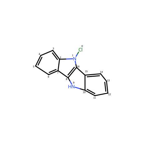 Cln1c2ccccc2c2[nH]c3ccccc3c21